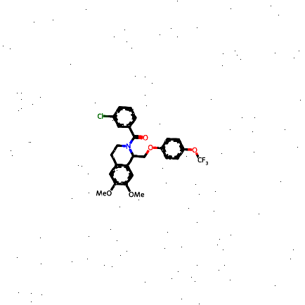 COc1cc2c(cc1OC)C(COc1ccc(OC(F)(F)F)cc1)N(C(=O)c1cccc(Cl)c1)CC2